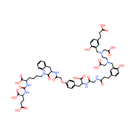 O=C(O)CCc1ccc(O)c(CN(CCN(CC(=O)O)Cc2cc(CCC(=O)NCC(=O)NC(Cc3ccc(OCC(=O)NC(Cc4ccccc4)C(=O)NCCCCC(NC(=O)NC(CCC(=O)O)C(=O)O)C(=O)O)cc3)C(=O)O)ccc2O)CC(=O)O)c1